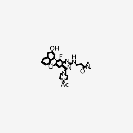 CC(=O)N1CCN(c2nc(NCCC(=O)N(C)C)nc3c(F)c([C@@H]4C=C(O)Cc5ccccc54)c(Cl)cc23)CC1